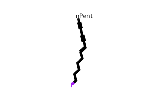 CCCCCC#CC#C/C=C/CCCCCI